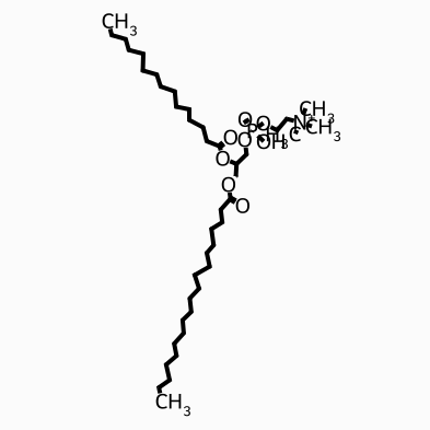 CCCCCCCCCCCCCCCCCCC(=O)OCC(COP(=O)(O)OCC[N+](C)(C)C)OC(=O)CCCCCCCCCCCCCC